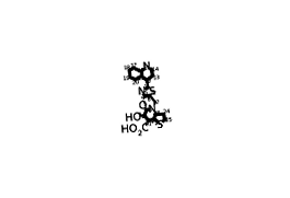 O=C(O)c1c(O)c(=O)n(Cc2cnc(-c3ccnc4ccccc34)s2)c2ccsc12